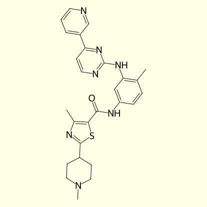 Cc1ccc(NC(=O)c2sc(C3CCN(C)CC3)nc2C)cc1Nc1nccc(-c2cccnc2)n1